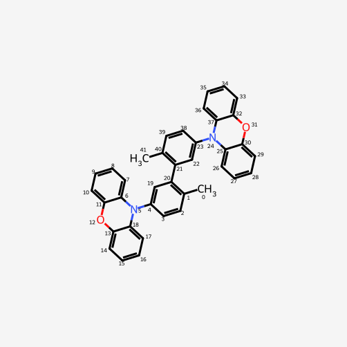 Cc1ccc(N2c3ccccc3Oc3ccccc32)cc1-c1cc(N2c3ccccc3Oc3ccccc32)ccc1C